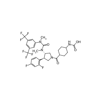 CN(C(=O)N(C)[C@@H]1CN(C(=O)C2CCC(NC(=O)O)CC2)C[C@H]1c1ccc(F)cc1F)c1cc(C(F)(F)F)cc(C(F)(F)F)c1